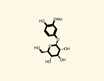 COc1cc(O[C@@H]2O[C@H](CO)[C@@H](O)[C@H](O)[C@H]2O)ccc1O